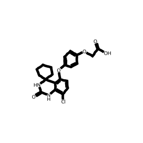 O=C(O)COc1ccc(Oc2ccc(Cl)c3c2C2(CCCCC2)NC(=O)N3)cc1